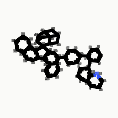 c1ccc(-c2cccc3cccnc23)c(-c2ccc(-c3cc4c(c5ccccc35)-c3ccc5ccccc5c3C43C4CC5CC(C4)CC3C5)cc2)c1